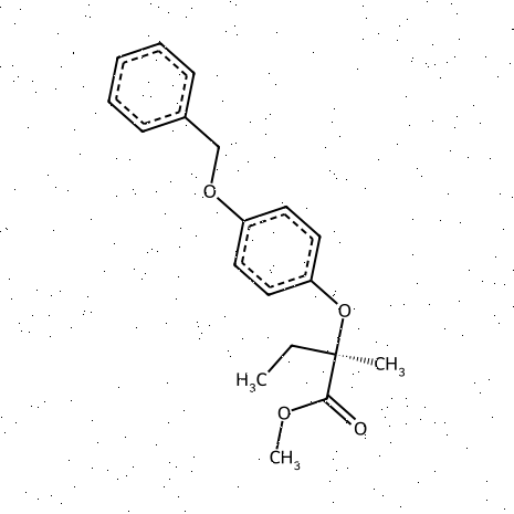 CC[C@@](C)(Oc1ccc(OCc2ccccc2)cc1)C(=O)OC